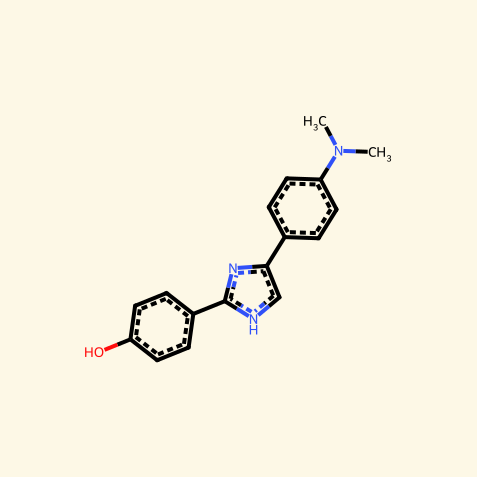 CN(C)c1ccc(-c2c[nH]c(-c3ccc(O)cc3)n2)cc1